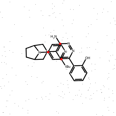 CC(C)(C)c1cc(N2C3CCC2CN(c2cc(-c4ccccc4O)nnc2N)C3)ccn1